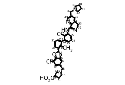 Cc1c(-c2nc3cc(CN4CC[C@@H](C(=O)O)C4)cc(Cl)c3o2)cccc1-c1cccc(Nc2nccc3cc(CN4CCCC4)cnc23)c1Cl